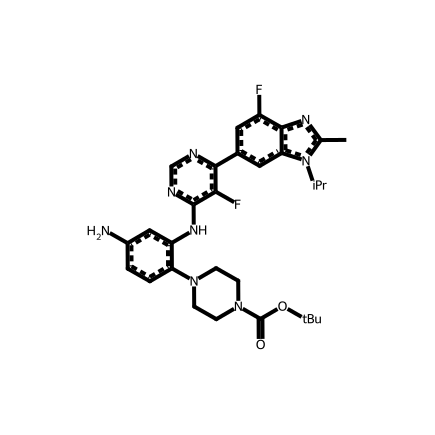 Cc1nc2c(F)cc(-c3ncnc(Nc4cc(N)ccc4N4CCN(C(=O)OC(C)(C)C)CC4)c3F)cc2n1C(C)C